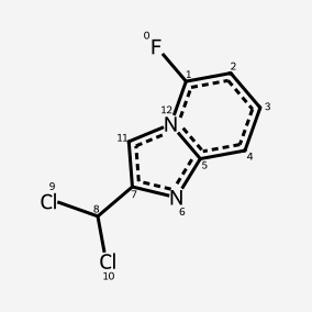 Fc1cccc2nc(C(Cl)Cl)cn12